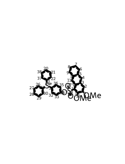 COc1cc2cc3ccccc3cc2c(S(=O)(=O)[O-])c1OC.c1ccc([S+](c2ccccc2)c2ccccc2)cc1